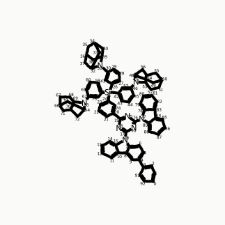 c1ccc(-c2ccc3c(c2)c2ccccc2n3-c2nc(-c3cccc([Si](c4cccc(N5C6CC7CC(C6)CC5C7)c4)(c4cccc(N5C6CC7CCC5C(C7)C6)c4)c4cccc(N5C6CC7CCC5C(C7)C6)c4)c3)nc(-n3c4ccccc4c4ccccc43)n2)cc1